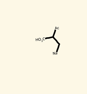 CC(=O)C([CH2][Na])C(=O)O